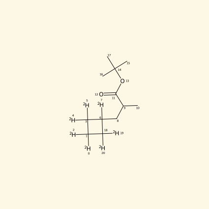 [2H]C1([2H])C([2H])([2H])C([2H])(CC(C)C(=O)OC(C)(C)C)C1([2H])[2H]